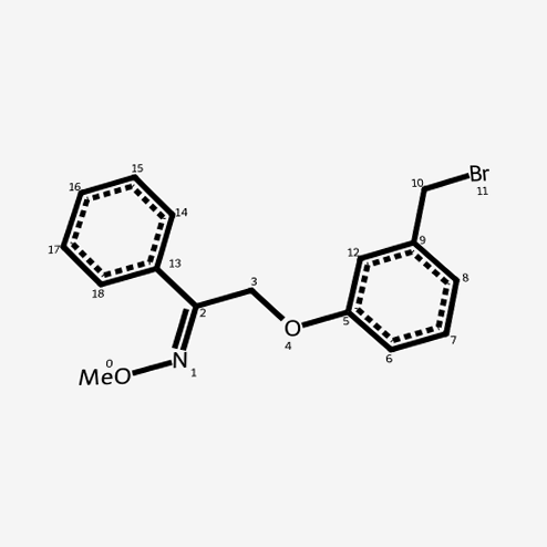 CON=C(COc1cccc(CBr)c1)c1ccccc1